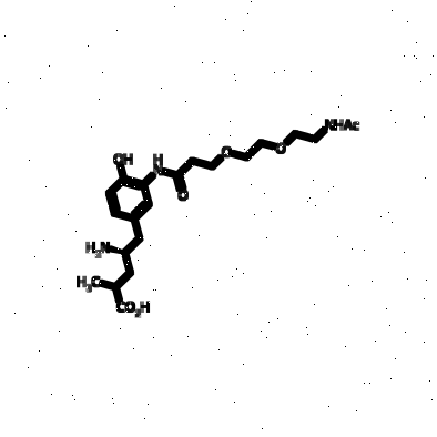 CC(=O)NCCOCCOCCC(=O)Nc1cc(C[C@H](N)CC(C)C(=O)O)ccc1O